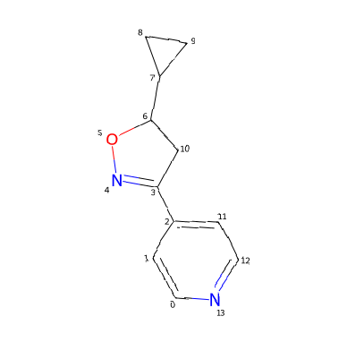 c1cc(C2=NOC(C3CC3)C2)ccn1